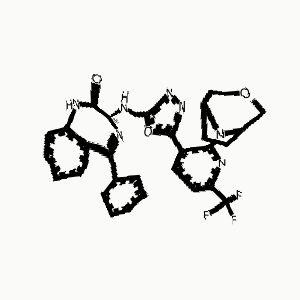 O=C1Nc2ccccc2C(c2ccccc2)=N[C@@H]1Nc1nnc(-c2ccc(C(F)(F)F)nc2N2C3CCC2COC3)o1